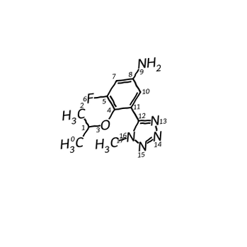 CC(C)Oc1c(F)cc(N)cc1-c1nnnn1C